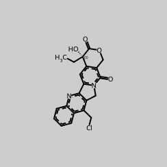 CC[C@@]1(O)C(=O)OCc2c1cc1n(c2=O)Cc2c-1nc1ccccc1c2CCl